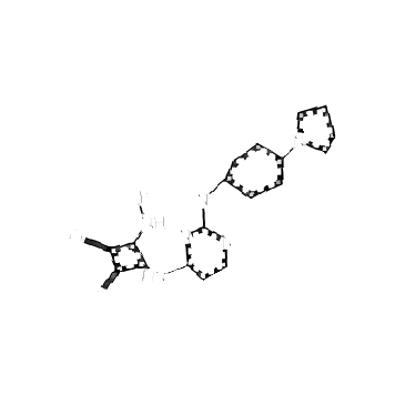 CC(C)(C)Nc1c(Nc2ccnc(Nc3ccc(-n4cccc4)cc3)n2)c(=O)c1=O